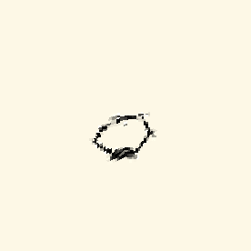 C1#CCSSC1